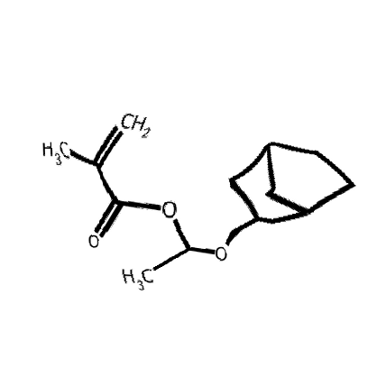 C=C(C)C(=O)OC(C)OC1CC2CCC1C2